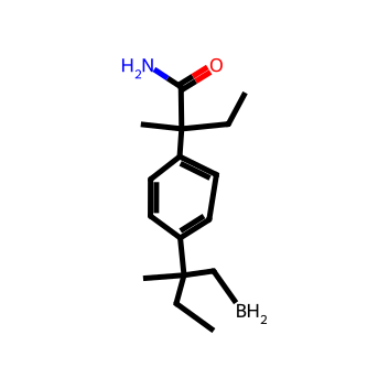 BCC(C)(CC)c1ccc(C(C)(CC)C(N)=O)cc1